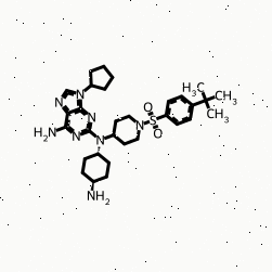 CC(C)(C)c1ccc(S(=O)(=O)N2CCC(N(c3nc(N)c4ncn(C5CCCC5)c4n3)[C@H]3CC[C@H](N)CC3)CC2)cc1